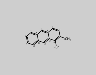 Cc1ccc2cc3ccccc3cc2c1Br